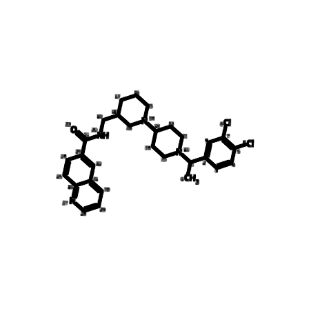 CC(c1ccc(Cl)c(Cl)c1)N1CCC(N2CCCC(CNC(=O)c3ccc4ncccc4c3)C2)CC1